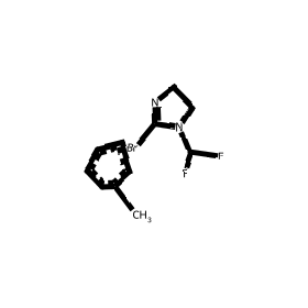 Cc1ccccc1.FC(F)N1CCN=C1Br